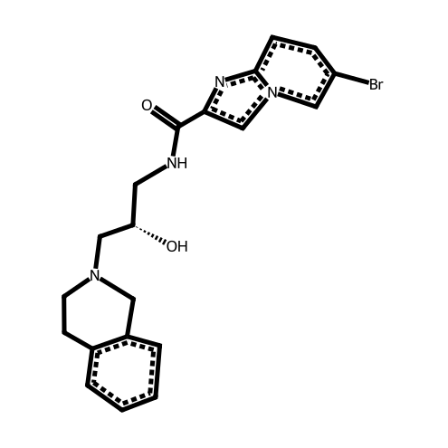 O=C(NC[C@H](O)CN1CCc2ccccc2C1)c1cn2cc(Br)ccc2n1